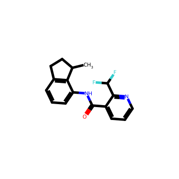 CC1CCc2cccc(NC(=O)c3cccnc3C(F)F)c21